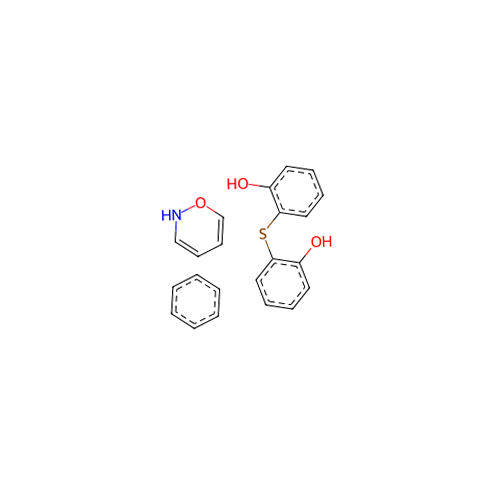 C1=CNOC=C1.Oc1ccccc1Sc1ccccc1O.c1ccccc1